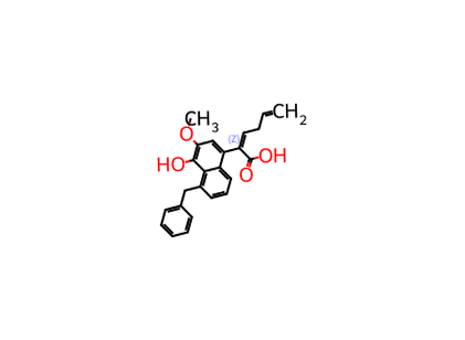 C=CC/C=C(\C(=O)O)c1cc(OC)c(O)c2c(Cc3ccccc3)cccc12